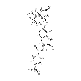 CO[C@@H]1[C@@H]2OC(=O)O[C@@H]2[C@H](Oc2ccc3cc(NC(=O)c4ccc([N+](=O)[O-])cc4)c(=O)oc3c2C)OC1(C)C